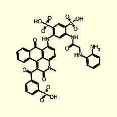 Cn1c(=O)c(C(=O)c2cccc(S(=O)(=O)O)c2)c2c3c(c(Nc4cc(NC(=O)CNc5ccccc5N)c(S(=O)(=O)O)cc4S(=O)(=O)O)ccc31)C(=O)c1ccccc1-2